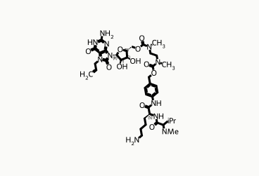 C=CCn1c(=O)n([C@@H]2O[C@H](COC(=O)N(C)CCN(C)C(=O)OCc3ccc(NC(=O)[C@H](CCCCN)NC(=O)C(NC)C(C)C)cc3)[C@@H](O)[C@H]2O)c2nc(N)[nH]c(=O)c21